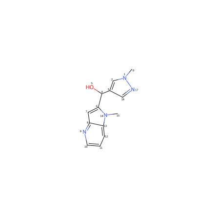 Cn1cc(C(O)c2cc3ncccc3n2C)cn1